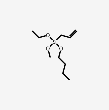 C=CC[Si](OC)(OCC)OCCCC